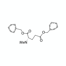 CN[C@@H](CCC(=O)OCc1ccccc1)C(=O)OCc1ccccc1